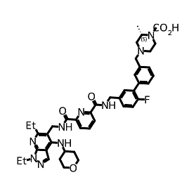 CCc1nc2c(cnn2CC)c(NC2CCOCC2)c1CNC(=O)c1cccc(C(=O)NCc2ccc(F)c(-c3cccc(CN4CCN(C(=O)O)[C@@H](C)C4)c3)c2)n1